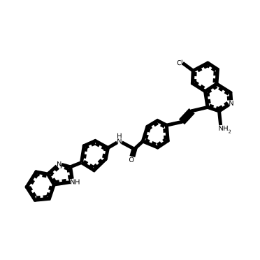 Nc1ncc2ccc(Cl)cc2c1C#Cc1ccc(C(=O)Nc2ccc(-c3nc4ccccc4[nH]3)cc2)cc1